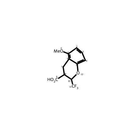 COc1cccc2c1CC(C(=O)O)C(C(F)(F)F)O2